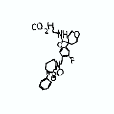 O=C(O)CNC(=O)C1(c2ccc(CN3CCC[C@H](c4ccccc4)S3(=O)=O)c(F)c2)CCOCC1